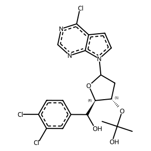 CC(C)(O)O[C@H]1CC(n2ccc3c(Cl)ncnc32)O[C@@H]1C(O)c1ccc(Cl)c(Cl)c1